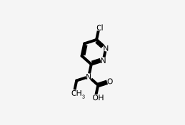 CCN(C(=O)O)c1ccc(Cl)nn1